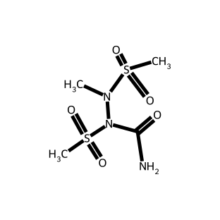 CN(N(C(N)=O)S(C)(=O)=O)S(C)(=O)=O